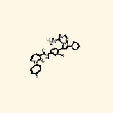 Nc1ncnn2c(C3CCCCC3)cc(-c3ccc(NC(=O)c4cccn(-c5ccc(F)cc5)c4=O)cc3F)c12